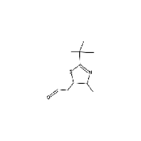 CC1N=C(C(C)(C)C)SC1CC=O